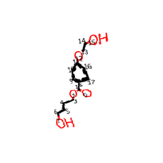 O=C(OCCCCO)c1ccc(OCCO)cc1